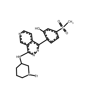 CCN1CCCC(Nc2nnc(-c3ccc(S(C)(=O)=O)cc3O)c3ccncc23)C1